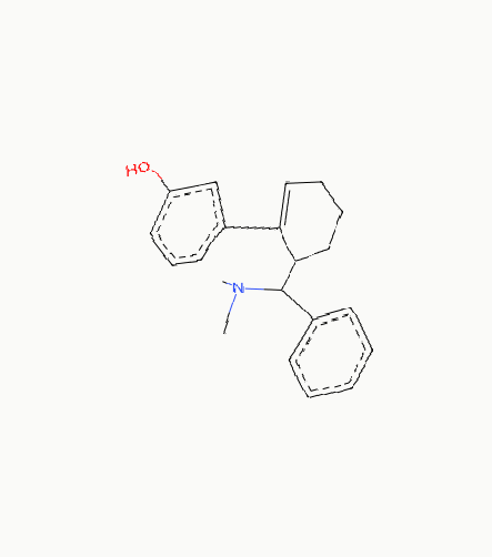 CN(C)C(c1ccccc1)C1CCCC=C1c1cccc(O)c1